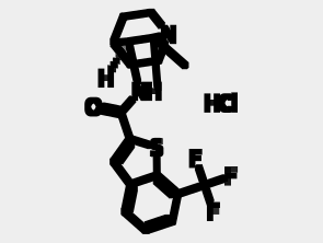 CC1(C)[C@@H](NC(=O)c2cc3cccc(C(F)(F)F)c3s2)C2CCN1CC2.Cl